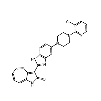 O=c1[nH]c2cccccc-2c1-c1nc2cc(N3CCN(c4ncccc4Cl)CC3)ccc2[nH]1